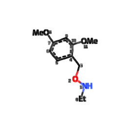 CCNOCc1ccc(OC)cc1OC